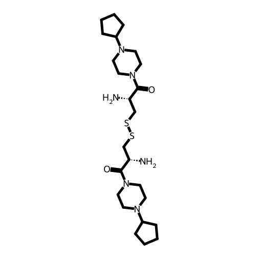 N[C@@H](CSSC[C@H](N)C(=O)N1CCN(C2CCCC2)CC1)C(=O)N1CCN(C2CCCC2)CC1